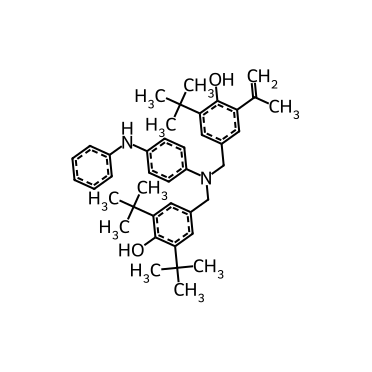 C=C(C)c1cc(CN(Cc2cc(C(C)(C)C)c(O)c(C(C)(C)C)c2)c2ccc(Nc3ccccc3)cc2)cc(C(C)(C)C)c1O